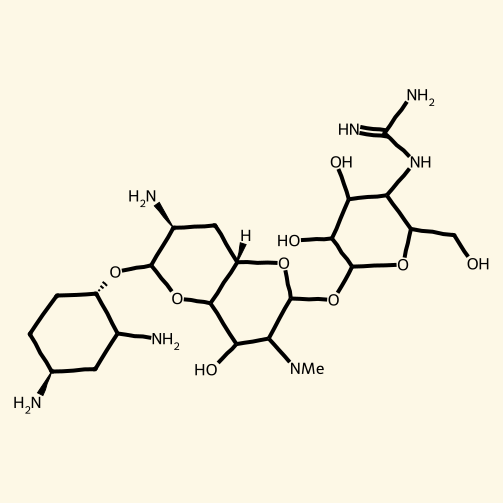 CNC1C(OC2OC(CO)C(NC(=N)N)C(O)C2O)O[C@H]2C[C@H](N)C(O[C@H]3CC[C@H](N)CC3N)OC2C1O